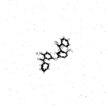 Nc1ccc(Oc2ccc(N)c(C(=O)c3ccccc3)c2)cc1C(=O)c1ccccc1